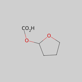 O=C(O)OC1CCCO1